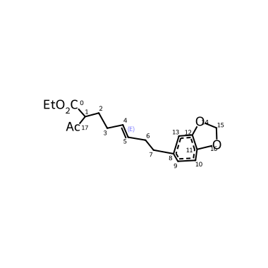 CCOC(=O)C(CC/C=C/CCc1ccc2c(c1)OCO2)C(C)=O